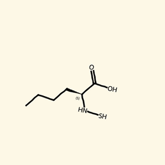 CCCC[C@H](NS)C(=O)O